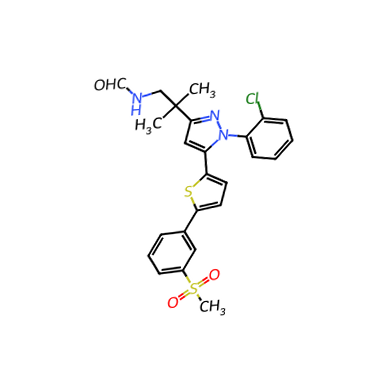 CC(C)(CNC=O)c1cc(-c2ccc(-c3cccc(S(C)(=O)=O)c3)s2)n(-c2ccccc2Cl)n1